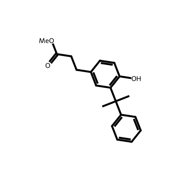 COC(=O)CCc1ccc(O)c(C(C)(C)c2ccccc2)c1